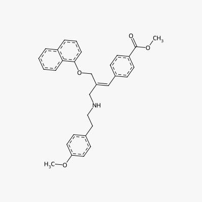 COC(=O)c1ccc(/C=C(/CNCCc2ccc(OC)cc2)COc2cccc3ccccc23)cc1